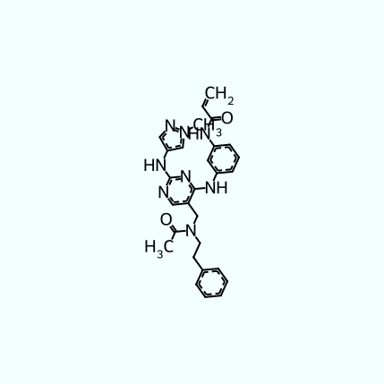 C=CC(=O)Nc1cccc(Nc2nc(Nc3cnn(C)c3)ncc2CN(CCc2ccccc2)C(C)=O)c1